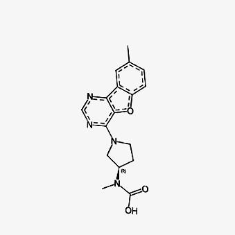 Cc1ccc2oc3c(N4CC[C@@H](N(C)C(=O)O)C4)ncnc3c2c1